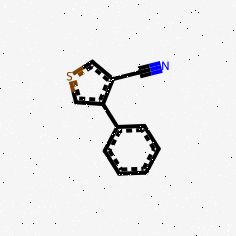 N#Cc1cs[c]c1-c1ccccc1